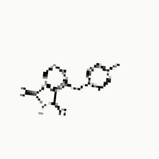 Cc1ccc(Cc2cccc3c2C(=O)NC3=O)cc1